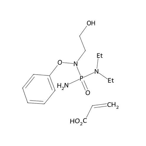 C=CC(=O)O.CCN(CC)P(N)(=O)N(CCO)Oc1ccccc1